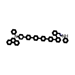 C1=CC(c2ccc(-c3ccc(-c4ccc(-c5ccc(-c6ccccc6-c6ccccc6/C=C/Nc6ccccc6)cc5)cc4)cc3)cc2)CC=C1N(c1ccccc1)c1cc2ccccc2c2ccccc12